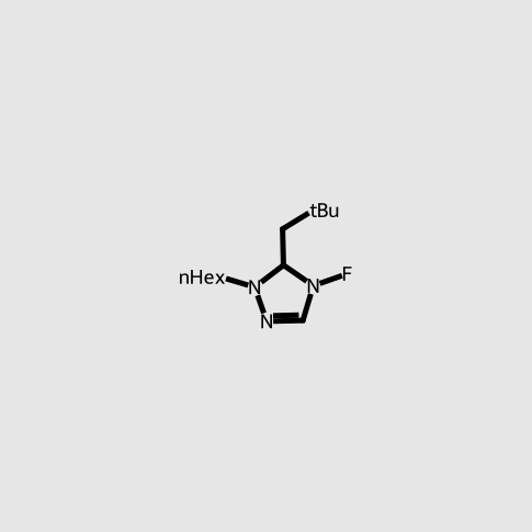 CCCCCCN1N=CN(F)C1CC(C)(C)C